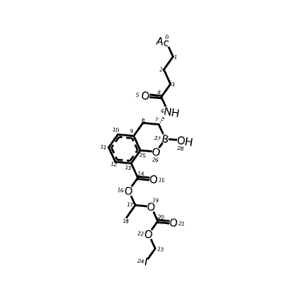 CC(=O)CCCC(=O)N[C@H]1Cc2cccc(C(=O)OC(C)OC(=O)OCI)c2OB1O